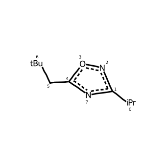 CC(C)c1noc(CC(C)(C)C)n1